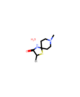 CCC1SC2(CCN(C)CC2)NC1=O.O